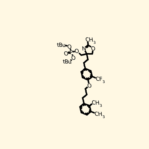 CC1=NC(CCc2ccc(OCCCc3cccc(C)c3C)c(C(F)(F)F)c2)(COP(=O)(OC(C)(C)C)OC(C)(C)C)CO1